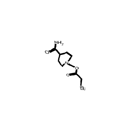 CC(C)(C)CC(=O)ON1CCC(C(N)=O)CC1